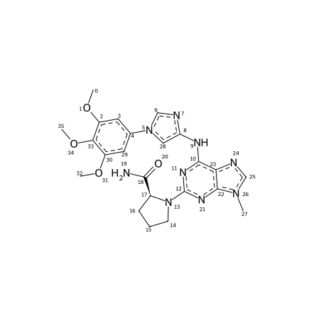 COc1cc(-n2cnc(Nc3nc(N4CCC[C@H]4C(N)=O)nc4c3ncn4C)c2)cc(OC)c1OC